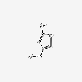 CNc1cc(CP)co1